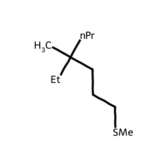 CCCC(C)(CC)CCCSC